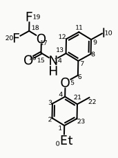 CCc1ccc(OCc2cc(I)ccc2NC(=O)OC(F)F)c(C)c1